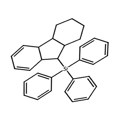 C1=CC2C(C=C1)C([Si](c1ccccc1)(c1ccccc1)c1ccccc1)C1CCCCC21